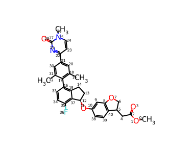 COC(=O)CC1COc2cc(O[C@@H]3CCc4c(-c5c(C)cc(-c6ccn(C)c(=O)n6)cc5C)ccc(F)c43)ccc21